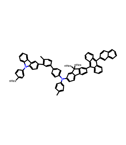 CCCCCCc1ccc(-n2c3ccccc3c3cc(-c4cc(-c5ccc(N(c6ccc(C)cc6)c6ccc7c(c6)C(CCCCCC)(CCCCCC)c6cc(-c8c9ccccc9c(-c9ccc%10ccccc%10c9)c9ccccc89)ccc6-7)cc5)ccc4C)ccc32)cc1